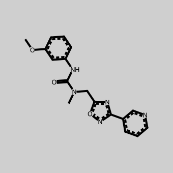 COc1cccc(NC(=O)N(C)Cc2nc(-c3cccnc3)no2)c1